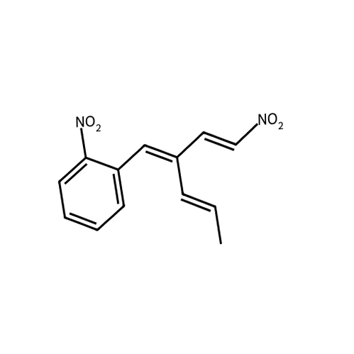 C/C=C/C(/C=C/[N+](=O)[O-])=C\c1ccccc1[N+](=O)[O-]